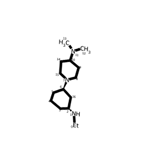 CCN[C@@H]1CCC[C@@H](N2CCC(N(C)C)CC2)C1